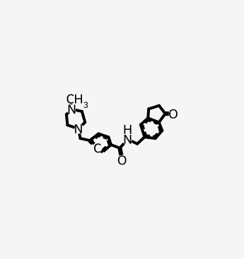 CN1CCN(Cc2ccc(C(=O)NCc3ccc4c(c3)CCC4=O)cc2)CC1